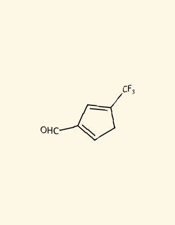 O=CC1=CCC(C(F)(F)F)=C1